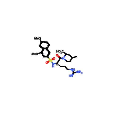 COc1ccc2cc(S(=O)(=O)N[C@@H](CCCNC(=N)N)C(=O)N3CCC(C)CC3C(=O)O)cc(OC)c2c1